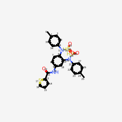 Cc1ccc(N(c2ccc(NC(=O)c3cccs3)cc2N(c2ccc(C)cc2)[SH](=O)=O)[SH](=O)=O)cc1